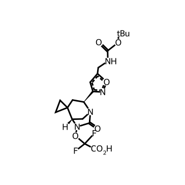 CC(C)(C)OC(=O)NCc1cc([C@@H]2CC3(CC3)[C@@H]3CN2C(=O)N3OC(F)(F)C(=O)O)no1